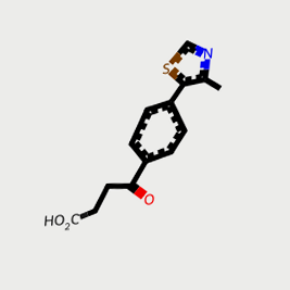 Cc1ncsc1-c1ccc(C(=O)CCC(=O)O)cc1